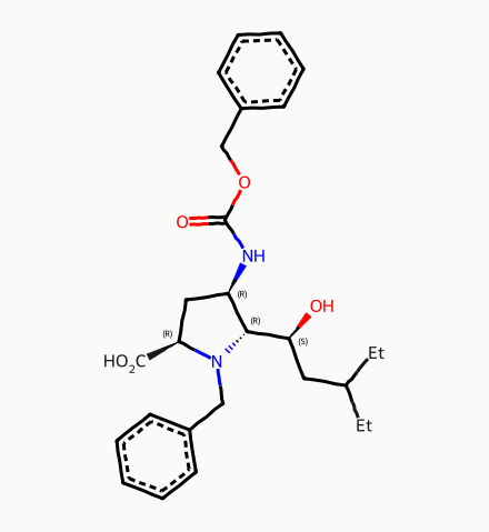 CCC(CC)C[C@H](O)[C@H]1[C@H](NC(=O)OCc2ccccc2)C[C@H](C(=O)O)N1Cc1ccccc1